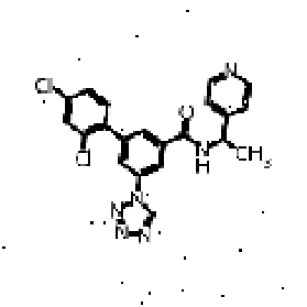 CC(NC(=O)c1cc(-c2ccc(Cl)cc2Cl)cc(-n2cnnn2)c1)c1ccncc1